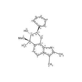 CO[C@]1(C)c2ccn3c(C)c(C)nc3c2O[C@H](c2ccccc2)[C@H]1O